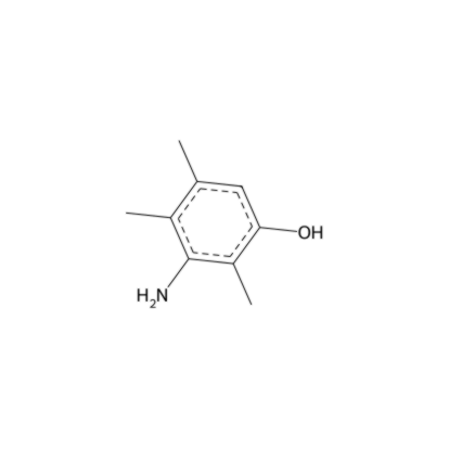 Cc1cc(O)c(C)c(N)c1C